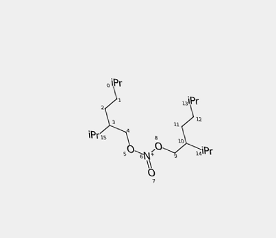 CC(C)CCC(CO[N+](=O)OCC(CCC(C)C)C(C)C)C(C)C